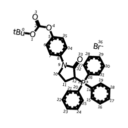 CC(C)(C)OC(=O)Oc1ccc(N2CCC([P+](c3ccccc3)(c3ccccc3)c3ccccc3)C2=O)cc1.[Br-]